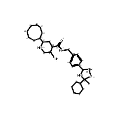 CC1(C2CCCCC2)NC(c2ccc(CNC(=O)C3CC(C4CCCCCCC4)NCC3O)cc2)NO1